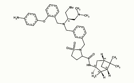 C[C@@H]1[C@@H](NC(=O)C2CCS(=O)(=O)N2Cc2cccc(CN(Cc3ccccc3Oc3ccc(N)cc3)[C@H](CN(C)C)CC(C)(C)C)c2)C[C@H]2C[C@@H]1C2(C)C